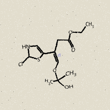 CCOC(=O)C/C(=C/OC(C)(C)O)C1=CNC(Cl)S1